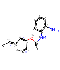 C=C(Nc1ccccc1N)OC(/C=C\C)=C/C=C/C